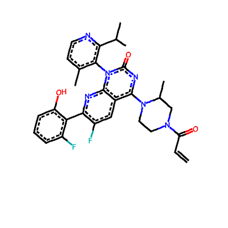 C=CC(=O)N1CCN(c2nc(=O)n(-c3c(C)ccnc3C(C)C)c3nc(-c4c(O)cccc4F)c(F)cc23)C(C)C1